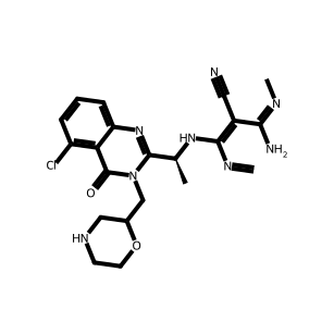 C=N/C(N[C@@H](C)c1nc2cccc(Cl)c2c(=O)n1CC1CNCCO1)=C(C#N)\C(N)=N/C